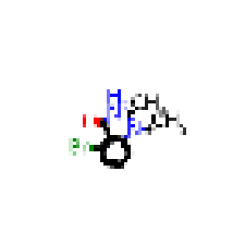 CCN(CC)c1cccc(Br)c1C(N)=O